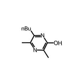 CCCCc1nc(O)c(C)nc1C